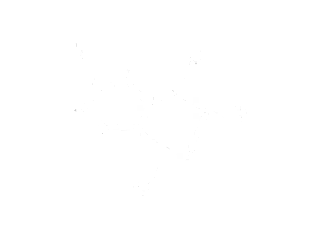 COc1ccc(Cl)cc1C(Br)C(=O)O